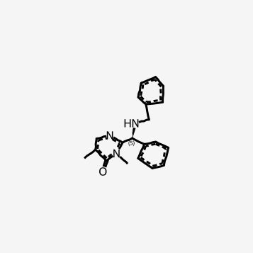 Cc1cnc([C@@H](NCc2ccccc2)c2ccccc2)n(C)c1=O